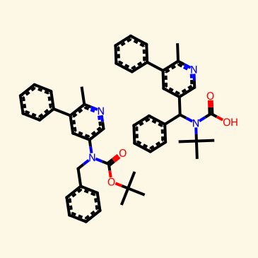 Cc1ncc(C(c2ccccc2)N(C(=O)O)C(C)(C)C)cc1-c1ccccc1.Cc1ncc(N(Cc2ccccc2)C(=O)OC(C)(C)C)cc1-c1ccccc1